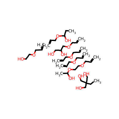 C=CCOC(O)CC.C=CCOCC(O)CO.C=CCOCC=C.C=CCOCC=C.C=CCOCCO.C=CCOCCOC(C)O.CCC(CO)(CO)CO